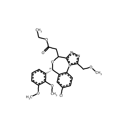 CCOC(=O)CC1O[C@@H](c2cccc(OC)c2OC)c2cc(Cl)ccc2-n2c(COC)nnc21